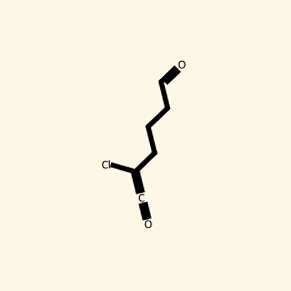 O=C=C(Cl)CCCC=O